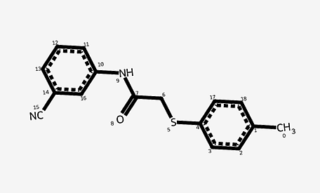 Cc1ccc(SCC(=O)Nc2cccc(C#N)c2)cc1